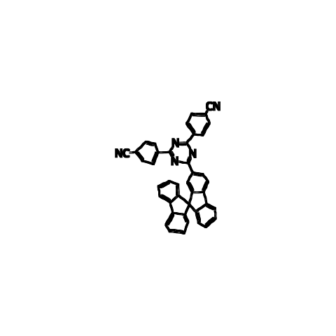 N#Cc1ccc(-c2nc(-c3ccc(C#N)cc3)nc(-c3ccc4c(c3)C3(c5ccccc5-c5ccccc53)c3ccccc3-4)n2)cc1